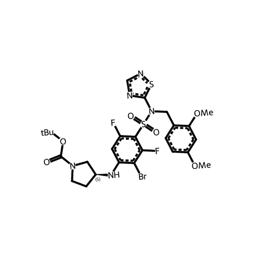 COc1ccc(CN(c2ncns2)S(=O)(=O)c2c(F)cc(N[C@H]3CCN(C(=O)OC(C)(C)C)C3)c(Br)c2F)c(OC)c1